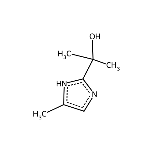 Cc1cnc(C(C)(C)O)[nH]1